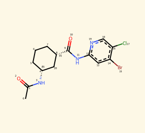 CC(=O)N[C@@H]1CCC[C@H](C(=O)Nc2cc(Br)c(Cl)cn2)C1